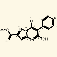 COC(=O)c1cc2nc(O)c(-c3ccccc3)c(O)n2n1